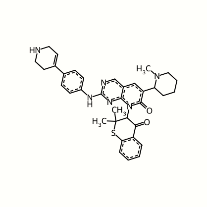 CN1CCCCC1c1cc2cnc(Nc3ccc(C4=CCNCC4)cc3)nc2n(C2C(=O)c3ccccc3SC2(C)C)c1=O